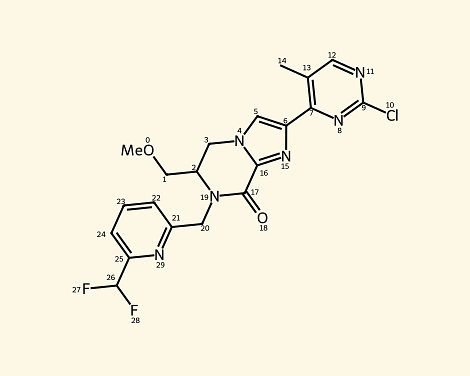 COCC1Cn2cc(-c3nc(Cl)ncc3C)nc2C(=O)N1Cc1cccc(C(F)F)n1